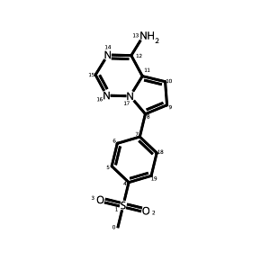 CS(=O)(=O)c1ccc(-c2ccc3c(N)ncnn23)cc1